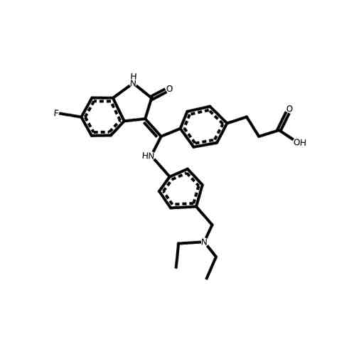 CCN(CC)Cc1ccc(NC(=C2C(=O)Nc3cc(F)ccc32)c2ccc(CCC(=O)O)cc2)cc1